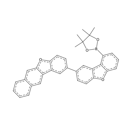 CC1(C)OB(c2cccc3oc4ccc(-c5ccc6oc7cc8ccccc8cc7c6c5)cc4c23)OC1(C)C